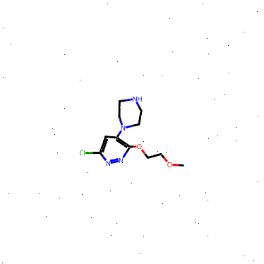 COCCOc1nnc(Cl)cc1N1CCNCC1